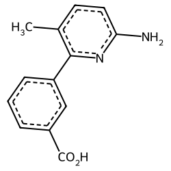 Cc1ccc(N)nc1-c1cccc(C(=O)O)c1